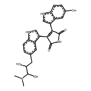 CN(C)C(O)C(O)Cc1ccc2[nH]cc(C3=C(c4c[nH]c5ccc(O)cc45)C(=O)NC3=O)c2c1